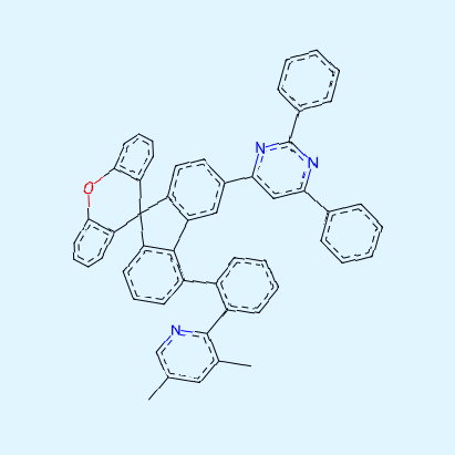 Cc1cnc(-c2ccccc2-c2cccc3c2-c2cc(-c4cc(-c5ccccc5)nc(-c5ccccc5)n4)ccc2C32c3ccccc3Oc3ccccc32)c(C)c1